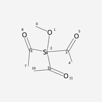 CO[Si](C(C)=O)(C(C)=O)C(C)=O